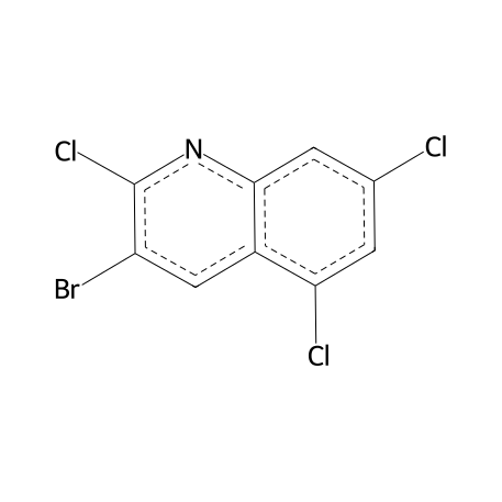 Clc1cc(Cl)c2cc(Br)c(Cl)nc2c1